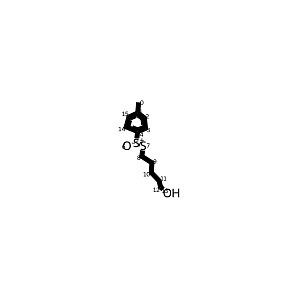 Cc1ccc([S+]([O-])SCCCCCO)cc1